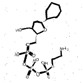 NCCOP(=O)(O)OP(=O)(O)OP(=O)(O)OC[C@H]1O[C@@H](C2CCCCC2)CC1O